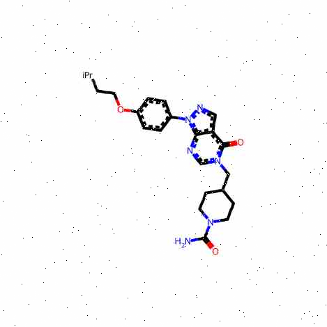 CC(C)CCOc1ccc(-n2ncc3c(=O)n(CC4CCN(C(N)=O)CC4)cnc32)cc1